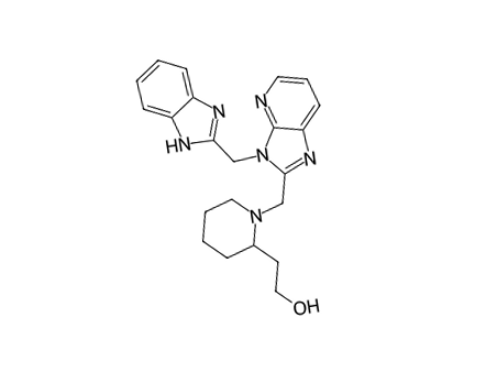 OCCC1CCCCN1Cc1nc2cccnc2n1Cc1nc2ccccc2[nH]1